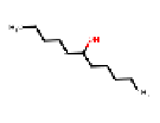 CCCC[CH]C(O)CCCCC